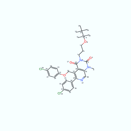 Cn1c(=O)n(CCCO[Si](C)(C)C(C)(C)C)c(=O)c2c(COc3ccc(Cl)cc3)c(-c3ccc(Cl)cc3)ncc21